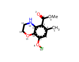 COC(=O)c1c(C)cc(OF)c2c1NCCO2